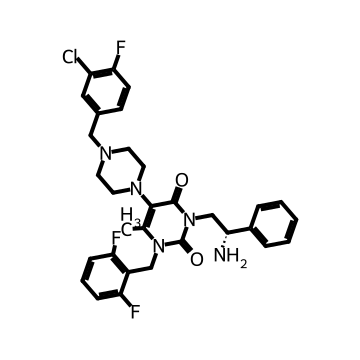 Cc1c(N2CCN(Cc3ccc(F)c(Cl)c3)CC2)c(=O)n(C[C@@H](N)c2ccccc2)c(=O)n1Cc1c(F)cccc1F